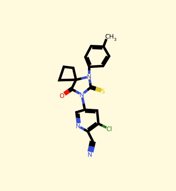 Cc1ccc(N2C(=S)N(c3cnc(C#N)c(Cl)c3)C(=O)C23CCC3)cc1